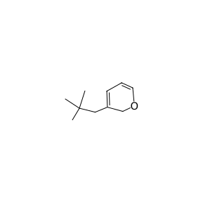 CC(C)(C)CC1=CC=COC1